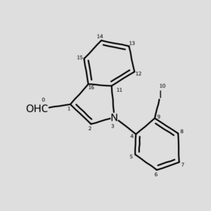 O=Cc1cn(-c2ccccc2I)c2ccccc12